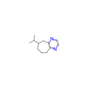 CC(C)C1CCCc2nccnc2C1